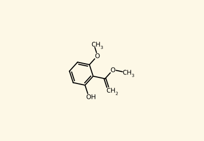 C=C(OC)c1c(O)cccc1OC